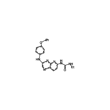 CCNC(=O)Nc1ccc2ncc(Nc3ccc(OC(C)C)cc3)nc2n1